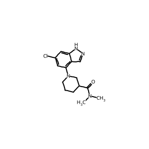 CN(C)C(=O)C1CCCN(c2cc(Cl)cc3[nH]ncc23)C1